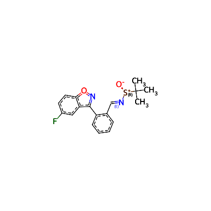 CC(C)(C)[S@+]([O-])/N=C/c1ccccc1-c1noc2ccc(F)cc12